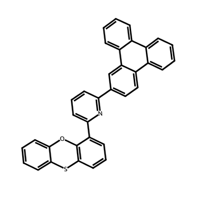 c1cc(-c2ccc3c4ccccc4c4ccccc4c3c2)nc(-c2cccc3c2Oc2ccccc2S3)c1